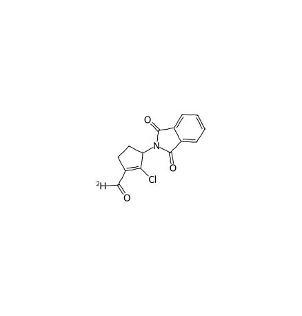 [2H]C(=O)C1=C(Cl)C(N2C(=O)c3ccccc3C2=O)CC1